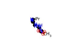 CC(C)c1cnn2ccc(-c3ccnc(Nc4ccc(N5CCN(S(C)(=O)=O)CCC5=O)cn4)n3)cc12